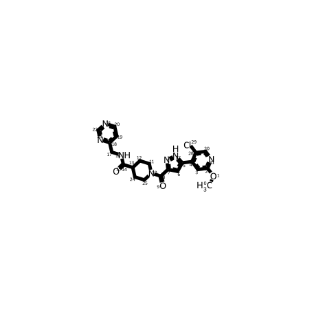 COc1cc(-c2cc(C(=O)N3CCC(C(=O)NCc4ccncn4)CC3)n[nH]2)c(Cl)cn1